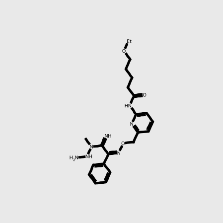 CCOCCCCC(=O)Nc1cccc(CO/N=C(\C(=N)N(C)NN)c2ccccc2)n1